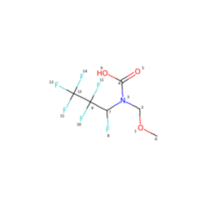 COCN(C(=O)O)C(F)C(F)(F)C(F)(F)F